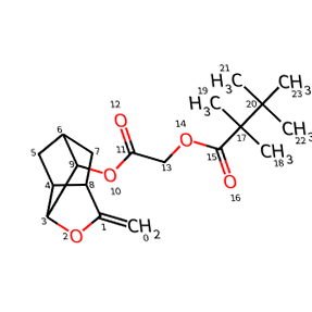 C=C1OC2C3CC(CC13)C2OC(=O)COC(=O)C(C)(C)C(C)(C)C